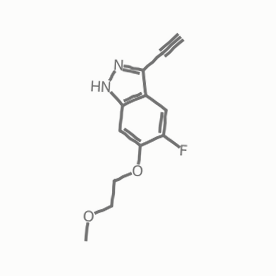 C#Cc1n[nH]c2cc(OCCOC)c(F)cc12